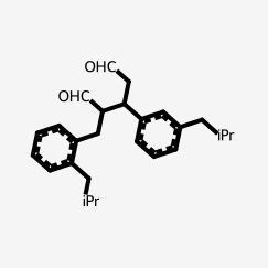 CC(C)Cc1cccc(C(CC=O)C(C=O)Cc2ccccc2CC(C)C)c1